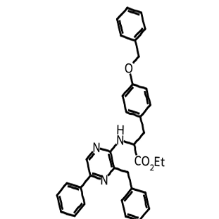 CCOC(=O)C(Cc1ccc(OCc2ccccc2)cc1)Nc1ncc(-c2ccccc2)nc1Cc1ccccc1